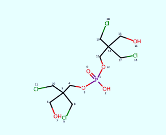 O=P(O)(OCC(CO)(CCl)CCl)OCC(CO)(CCl)CCl